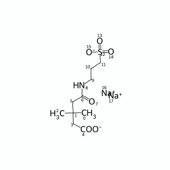 CC(C)(CC(=O)[O-])CC(=O)NCCCS(=O)(=O)[O-].[Na+].[Na+]